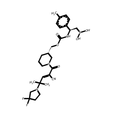 Cc1ccc([C@@H](CB(O)O)NC(=O)OC[C@H]2CCCN(C(=O)C(C#N)=CC(C)(C)N3CCC(F)(F)C3)C2)cc1